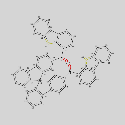 O=C(c1ccc2c(c1)[Si]1(c3ccccc3-2)c2ccccc2-c2ccc(C(=O)c3cccc4c3sc3ccccc34)cc21)c1cccc2c1sc1ccccc12